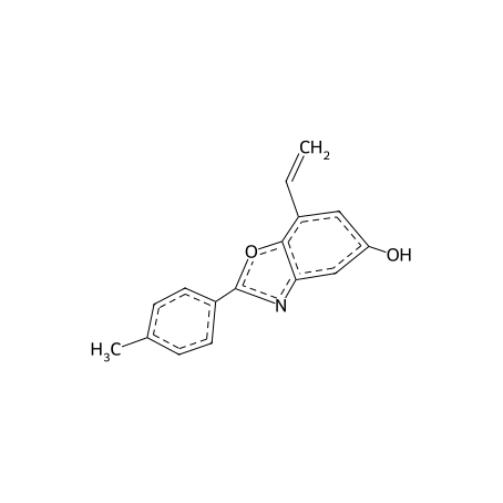 C=Cc1cc(O)cc2nc(-c3ccc(C)cc3)oc12